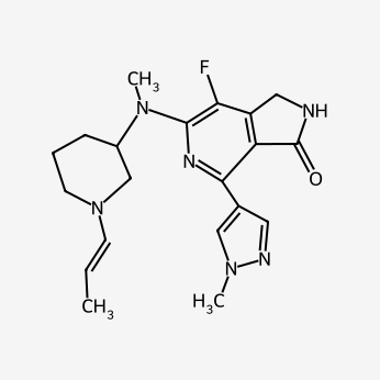 CC=CN1CCCC(N(C)c2nc(-c3cnn(C)c3)c3c(c2F)CNC3=O)C1